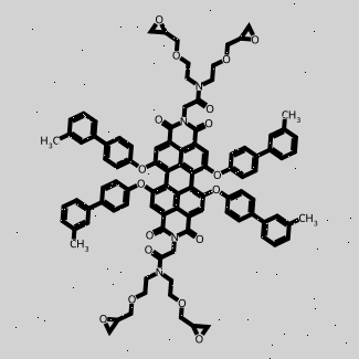 Cc1cccc(-c2ccc(Oc3cc4c5c(cc(Oc6ccc(-c7cccc(C)c7)cc6)c6c7c(Oc8ccc(-c9cccc(C)c9)cc8)cc8c9c(cc(Oc%10ccc(-c%11cccc(C)c%11)cc%10)c(c3c56)c97)C(=O)N(CC(=O)N(CCOCC3CO3)CCOCC3CO3)C8=O)C(=O)N(CC(=O)N(CCOCC3CO3)CCOCC3CO3)C4=O)cc2)c1